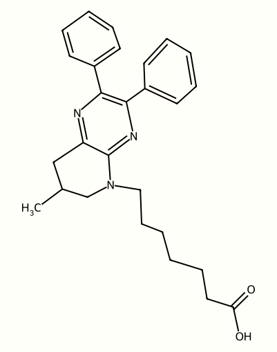 CC1Cc2nc(-c3ccccc3)c(-c3ccccc3)nc2N(CCCCCCC(=O)O)C1